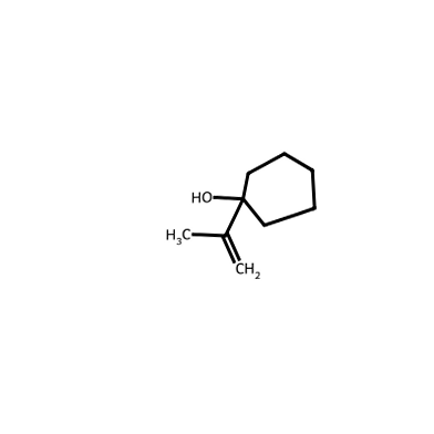 C=C(C)C1(O)CCCCC1